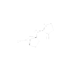 CCC1CC2(NC3=NCCN3)CCC1C2